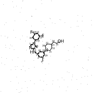 Cc1cc(Nc2ncn(-c3cc(F)cc(F)c3)n2)cc(N2CCC(CCO)CC2)c1